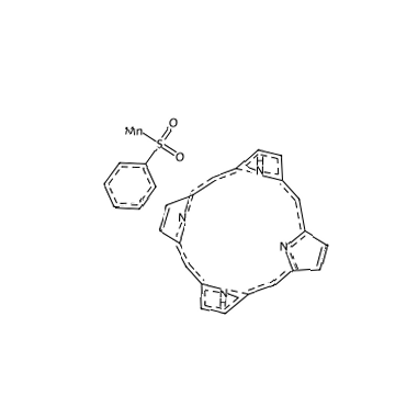 C1=Cc2cc3ccc(cc4nc(cc5ccc(cc1n2)[nH]5)C=C4)[nH]3.O=[S](=O)([Mn])c1ccccc1